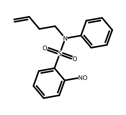 C=CCCN(c1ccccc1)S(=O)(=O)c1ccccc1N=O